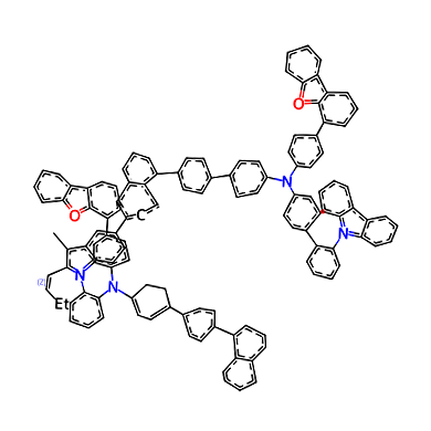 CC/C=C\c1c(C)c2cc(-c3ccc4c(-c5ccc(-c6ccc(N(c7ccc(-c8ccccc8-n8c9ccccc9c9ccccc98)cc7)c7ccc(-c8cccc9c8oc8ccccc89)cc7)cc6)cc5)cccc4c3)ccc2n1-c1ccccc1N(C1=CC=C(c2ccc(-c3cccc4ccccc34)cc2)CC1)c1ccc(-c2cccc3c2oc2ccccc23)cc1